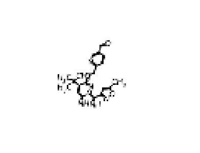 Cc1cc(C(=N)n2nc(OCc3ccc(C=O)cn3)c(C(C)(C)C)cc2=N)no1